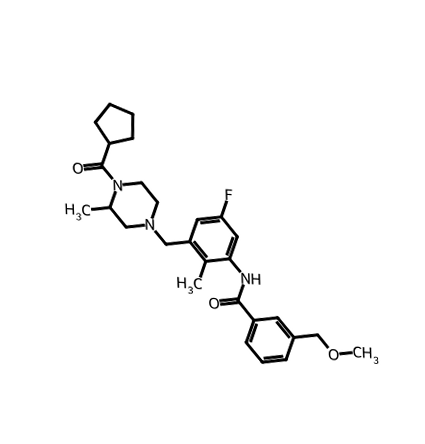 COCc1cccc(C(=O)Nc2cc(F)cc(CN3CCN(C(=O)C4CCCC4)C(C)C3)c2C)c1